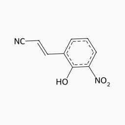 N#C/C=C/c1cccc([N+](=O)[O-])c1O